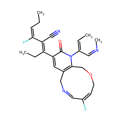 C/C=C(\C=N/C)n1c2c(cc(/C(CC)=C(C#N)/C(F)=C\CC)c1=O)C/N=C\C(F)=C/COC2